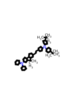 CC(C)(C)c1ccc(N(c2ccc(/C=C/c3ccc4c(c3)C(C)(C)c3cc(N(c5ccccc5)c5ccccc5)ccc3-4)cc2)c2ccc(C(C)(C)C)cc2)cc1